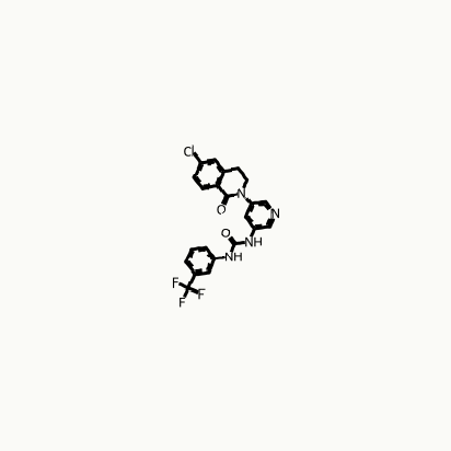 O=C(Nc1cncc(N2CCc3cc(Cl)ccc3C2=O)c1)Nc1cccc(C(F)(F)F)c1